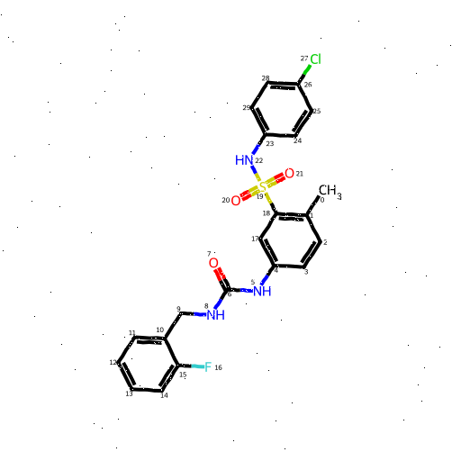 Cc1ccc(NC(=O)NCc2ccccc2F)cc1S(=O)(=O)Nc1ccc(Cl)cc1